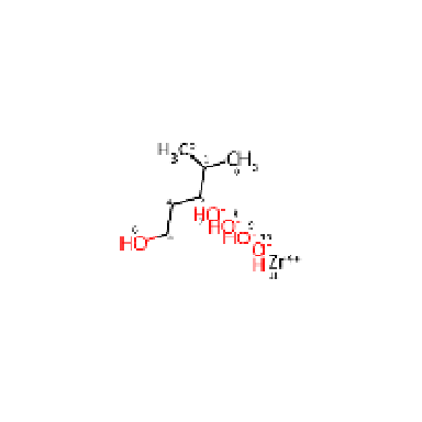 CC(C)CCCO.[OH-].[OH-].[OH-].[OH-].[Zr+4]